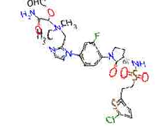 C[N+](C)(Cc1nccn1-c1ccc(N2CC[C@H](NS(=O)(=O)CCc3ccc(Cl)s3)C2=O)c(F)c1)C(OC=O)C(N)=O